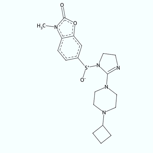 Cn1c(=O)oc2cc([S+]([O-])N3CCN=C3N3CCN(C4CCC4)CC3)ccc21